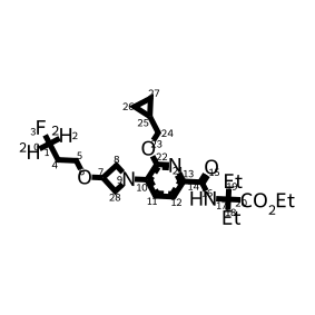 [2H]C([2H])(F)CCOC1CN(c2ccc(C(=O)NC(CC)(CC)C(=O)OCC)nc2OCC2CC2)C1